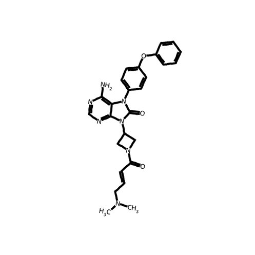 CN(C)C/C=C/C(=O)N1CC(n2c(=O)n(-c3ccc(Oc4ccccc4)cc3)c3c(N)ncnc32)C1